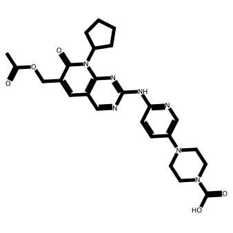 CC(=O)OCc1cc2cnc(Nc3ccc(N4CCN(C(=O)O)CC4)cn3)nc2n(C2CCCC2)c1=O